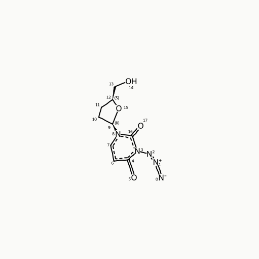 [N-]=[N+]=Nn1c(=O)ccn([C@H]2CC[C@@H](CO)O2)c1=O